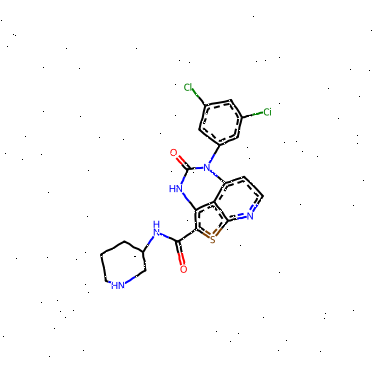 O=C(NC1CCCNC1)c1sc2nccc3c2c1NC(=O)N3c1cc(Cl)cc(Cl)c1